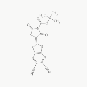 CC(C)(C)OC(=O)N1C(=O)SC(=C2Sc3nc(C#N)c(C#N)nc3S2)C1=O